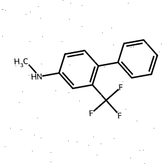 CNc1ccc(-c2ccccc2)c(C(F)(F)F)c1